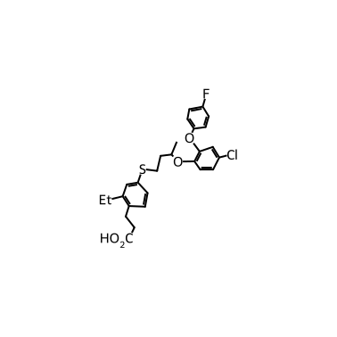 CCc1cc(SCCC(C)Oc2ccc(Cl)cc2Oc2ccc(F)cc2)ccc1CCC(=O)O